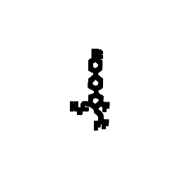 CCC1CCC(C2CCC(C3CC(C)C(CC=C(F)F)C(F)C3)CC2)CC1